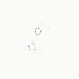 Cc1cc(CNN(C=O)OC(C)(C)C)ccc1O